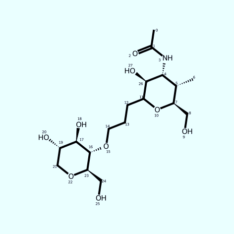 CC(=O)N[C@@H]1[C@H](C)[C@@H](CO)OC(CCCO[C@H]2[C@H](O)[C@@H](O)CO[C@@H]2CO)[C@H]1O